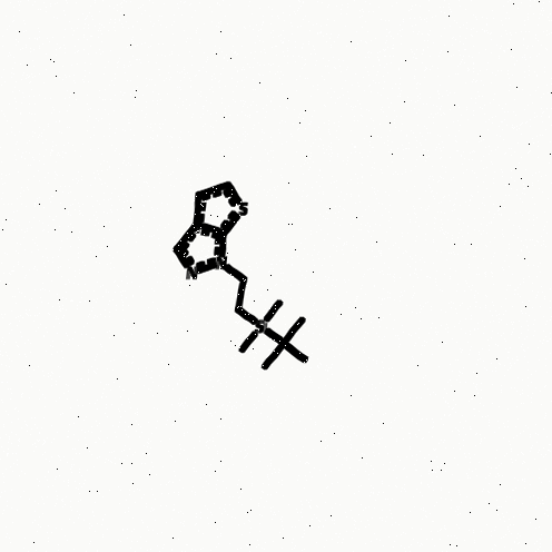 CC(C)(C)[Si](C)(C)CCn1ncc2ccsc21